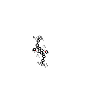 CC1c2cc3c4cc(-c5ccc(C(C)(C)C)cc5)ccc4n(-c4ccccc4)c3c3c2-c2c(cc4c5cc(-c6ccc(C(C)(C)C)cc6)ccc5n(-c5ccccc5)c4c2C1C)C(C)C3C